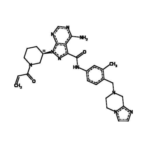 C=CC(=O)N1CCC[C@@H](n2nc(C(=O)Nc3ccc(CN4CCn5ccnc5C4)c(C)c3)c3c(N)ncnc32)C1